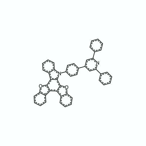 c1ccc(-c2cc(-c3ccc(-n4c5ccccc5c5c6oc7ccccc7c6c6c7ccccc7oc6c54)cc3)cc(-c3ccccc3)n2)cc1